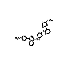 CNc1ncnc(-c2cccnc2Oc2ccc(Nc3nnc(-c4ccc(C)cc4)c4ccccc34)cc2)n1